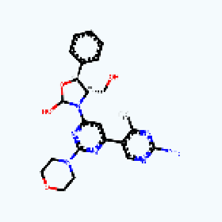 Nc1ncc(-c2cc(N3C(O)O[C@@H](c4ccccc4)[C@@H]3CO)nc(N3CCOCC3)n2)c(C(F)(F)F)n1